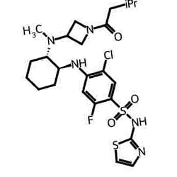 CC(C)CC(=O)N1CC(N(C)[C@H]2CCCC[C@@H]2Nc2cc(F)c(S(=O)(=O)Nc3nccs3)cc2Cl)C1